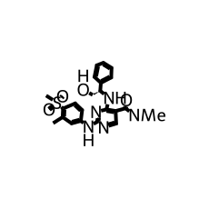 CNC(=O)c1cnc(Nc2ccc(S(C)(=O)=O)c(C)c2)nc1N[C@H](CO)c1ccccc1